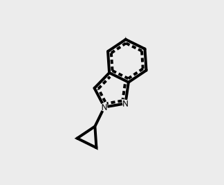 [c]1ccc2nn(C3CC3)cc2c1